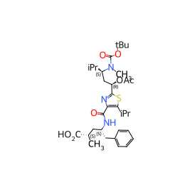 CC(=O)O[C@H](C[C@@H](C(C)C)N(C)C(=O)OC(C)(C)C)c1nc(C(=O)N[C@H](Cc2ccccc2)C[C@H](C)C(=O)O)c(C(C)C)s1